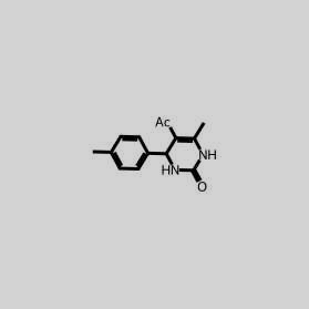 CC(=O)C1=C(C)NC(=O)NC1c1ccc(C)cc1